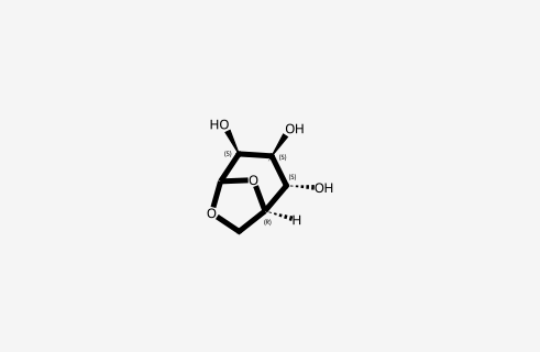 O[C@H]1[C@H](O)[C@H]2COC(O2)[C@H]1O